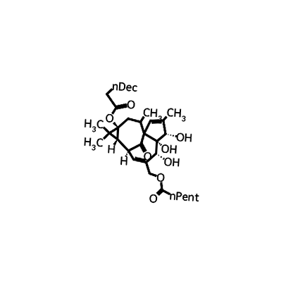 CCCCCCCCCCCC(=O)O[C@@]12CC(C)C34C=C(C)[C@H](O)[C@@]3(O)[C@H](O)C(COC(=O)CCCCC)=C[C@H](C4=O)[C@@H]1C2(C)C